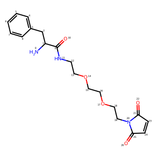 NC(Cc1ccccc1)C(=O)NCCOCCOCCN1C(=O)C=CC1=O